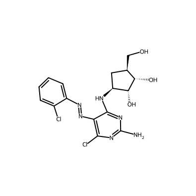 Nc1nc(Cl)c(N=Nc2ccccc2Cl)c(N[C@H]2C[C@@H](CO)[C@H](O)[C@@H]2O)n1